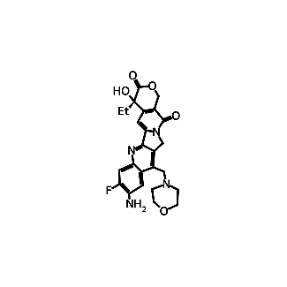 CC[C@@]1(O)C(=O)OCc2c1cc1n(c2=O)Cc2c-1nc1cc(F)c(N)cc1c2CN1CCOCC1